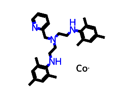 Cc1cc(C)c(NCCN(CCNc2c(C)cc(C)cc2C)Cc2ccccn2)c(C)c1.[Co]